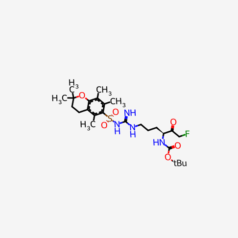 Cc1c(C)c(S(=O)(=O)NC(=N)NCCC[C@H](NC(=O)OC(C)(C)C)C(=O)CF)c(C)c2c1OC(C)(C)CC2